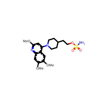 COc1cc(N2CCC(CCOS(N)(=O)=O)CC2)c2cc(OC)c(OC)cc2n1